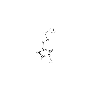 CCCCc1noc(Cl)n1